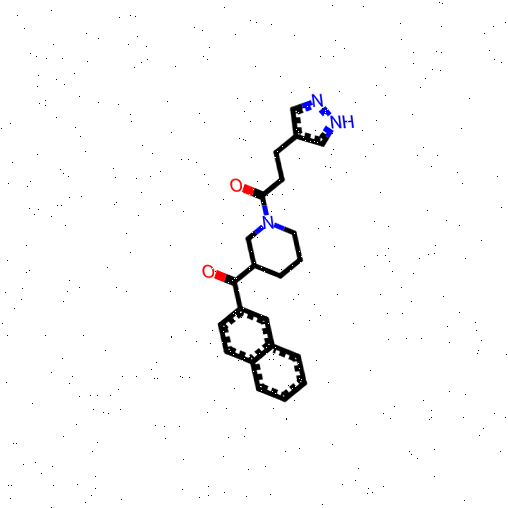 O=C(c1ccc2ccccc2c1)C1CCCN(C(=O)CCc2cn[nH]c2)C1